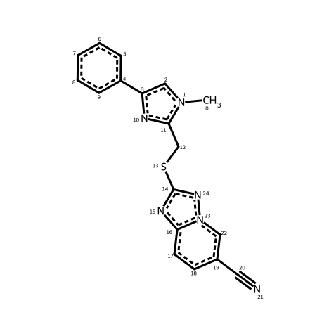 Cn1cc(-c2ccccc2)nc1CSc1nc2ccc(C#N)cn2n1